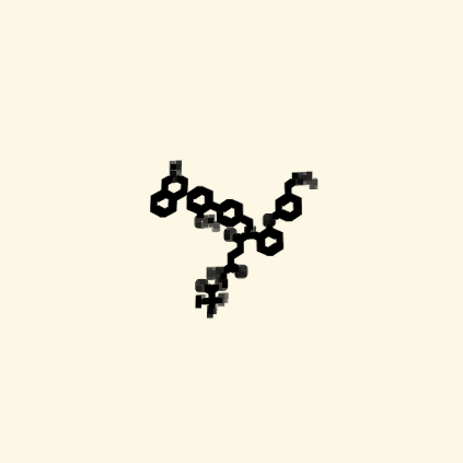 Cc1ccccc1-c1ccc(CN(C(=O)CCC(=O)NOC(=O)C(F)(F)F)c2ccccc2Oc2cccc(CN)c2)cc1.c1ccc2c(c1)CCNC2